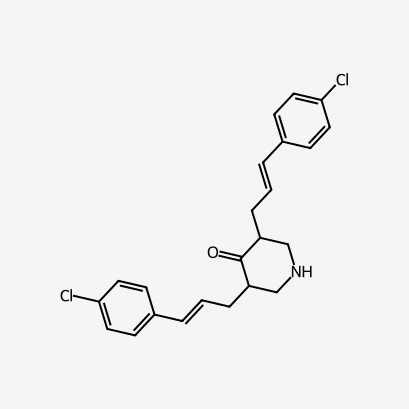 O=C1C(CC=Cc2ccc(Cl)cc2)CNCC1CC=Cc1ccc(Cl)cc1